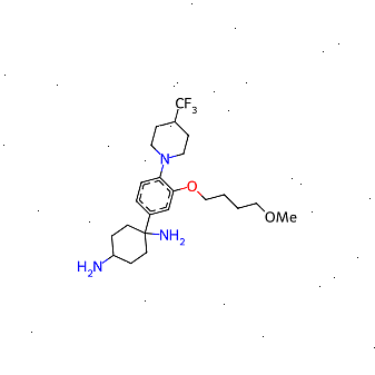 COCCCCOc1cc(C2(N)CCC(N)CC2)ccc1N1CCC(C(F)(F)F)CC1